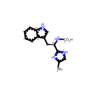 CC(C)(C)c1c[nH]c([C@@H](Cc2c[nH]c3ccccc23)NC(=O)O)n1